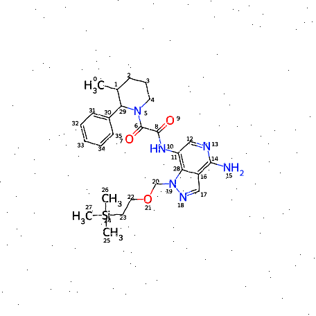 CC1CCCN(C(=O)C(=O)Nc2cnc(N)c3cnn(COCC[Si](C)(C)C)c23)C1c1ccccc1